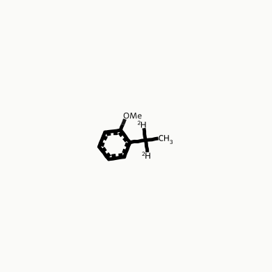 [2H]C([2H])(C)c1ccccc1OC